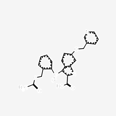 CC(=O)OCc1ccccc1[S+]([O-])c1c(C(=O)O)sc2cc(OCc3cccnc3)ccc12